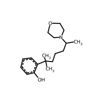 CC(CCCC(C)(C)c1ccccc1O)N1CCOCC1